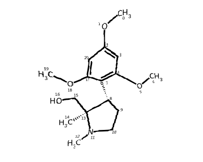 COc1cc(OC)c([C@@H]2CCN(C)[C@@]2(C)CO)c(OC)c1